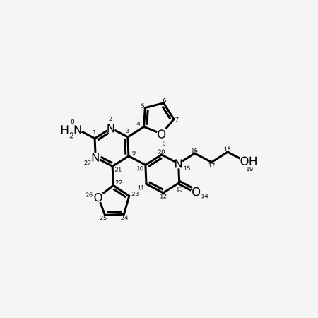 Nc1nc(-c2ccco2)c(-c2ccc(=O)n(CCCO)c2)c(-c2ccco2)n1